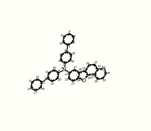 c1ccc(-c2ccc(N(c3ccc(-c4ccccc4)cc3)c3ccc4oc5c6cccnc6ccc5c4c3)cc2)cc1